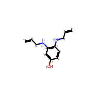 C=CCNc1ccc(O)cc1NCC=C